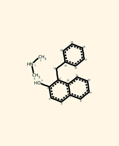 CNC.Oc1ccc2ccccc2c1Cc1ccccc1